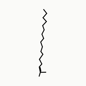 CCCCCCCCCCCCCCC=C(C)C